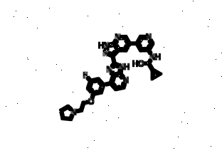 OC(Nc1cncc(-c2cnc3[nH]nc(-c4nc5c(-c6cc(F)cc(OCCN7CCCC7)c6)ccnc5[nH]4)c3c2)c1)C1CC1